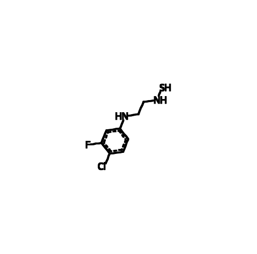 Fc1cc(NCCNS)ccc1Cl